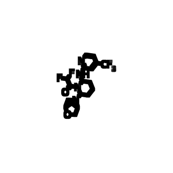 O=C(C(F)F)N1C(Nc2cc(C(F)(F)F)ccn2)CCCC1N1CC2CC1CO2